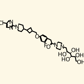 O=C(Cc1ccc(OCC2CC(C3CCN(c4ncc(Cl)cn4)CC3)C2)cc1F)N1CCN(C[C@H](O)[C@@H](O)[C@H](O)[C@H](O)CO)CC1